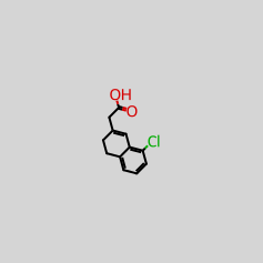 O=C(O)CC1=Cc2c(Cl)cccc2CC1